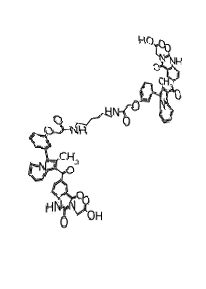 Cc1c(C(=O)c2ccc3[nH]c(=O)n(CC(=O)O)c(=O)c3c2)c2ccccn2c1-c1cccc(OCC(=O)NCCCCCCNC(=O)COc2cccc(-c3c(C)c(C(=O)c4ccc5[nH]c(=O)n(CC(=O)O)c(=O)c5c4)c4ccccn34)c2)c1